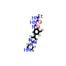 CCNC(=O)Nc1nc2cc(-c3cnc(N4CCNCC4)nc3)cc(C)c2o1